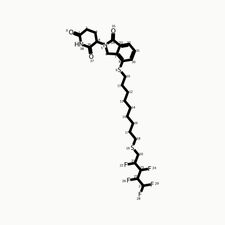 O=C1CCC(N2Cc3c(SCCCCCCCCCSCC(F)C(F)C(F)C(F)F)cccc3C2=O)C(=O)N1